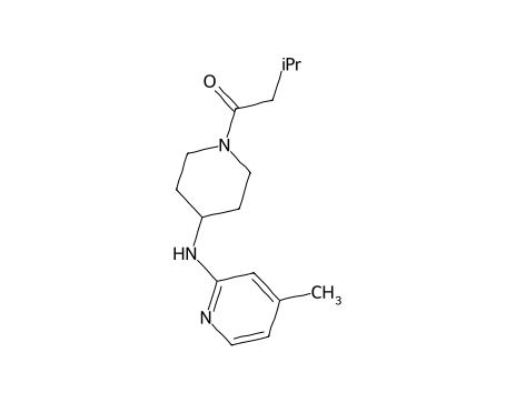 Cc1ccnc(NC2CCN(C(=O)CC(C)C)CC2)c1